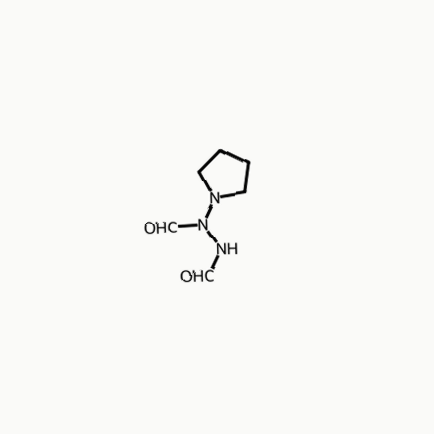 O=CNN(C=O)N1CCCC1